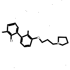 CCc1c(C)cccc1-c1cccc(OCCCN2CCCC2)c1C